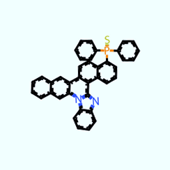 S=P(c1ccccc1)(c1ccccc1)c1cccc2c1ccc1c3cc4ccccc4cc3n3c4ccccc4nc3c21